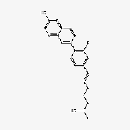 CC(O)CCCC=Cc1ccc(-c2ccc3nc(O)cnc3c2)c(F)c1